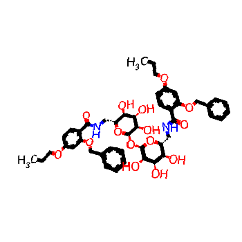 CCCOc1ccc(C(=O)NC[C@H]2O[C@H](O[C@H]3O[C@H](CNC(=O)c4ccc(OCCC)cc4OCc4ccccc4)[C@@H](O)[C@H](O)[C@H]3O)[C@H](O)[C@@H](O)[C@@H]2O)c(OCc2ccccc2)c1